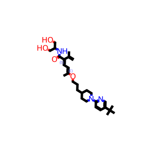 C=C(C)/C(=C\C=C(/C)OCCCC1CCN(c2ccc(C(C)(C)C)cn2)CC1)C(=O)NC(CO)CO